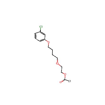 CCC(=O)OCCOCCCCOc1cccc(Cl)c1